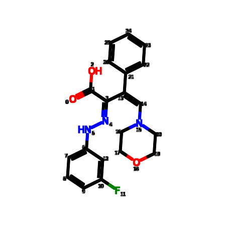 O=C(O)C(=NNc1cccc(F)c1)C(=CN1CCOCC1)c1ccccc1